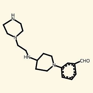 O=Cc1cccc(N2CCC(NCCN3CCNCC3)CC2)c1